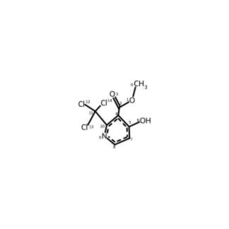 COC(=O)c1c(O)ccnc1C(Cl)(Cl)Cl